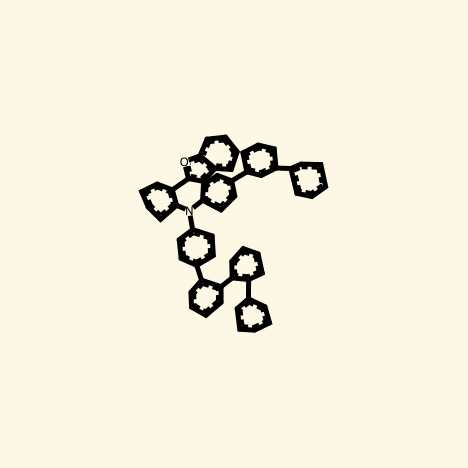 c1ccc(-c2cccc(-c3ccc(N(c4ccc(-c5ccccc5-c5ccccc5-c5ccccc5)cc4)c4ccccc4-c4cc5ccccc5o4)cc3)c2)cc1